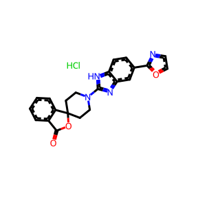 Cl.O=C1OC2(CCN(c3nc4cc(-c5ncco5)ccc4[nH]3)CC2)c2ccccc21